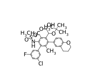 Cc1c(-c2cc(F)cc(Cl)c2)c(NS(C)(=O)=O)c(C)c(C(OC(C)(C)C)C(=O)O)c1-c1ccc2c(c1)CCCO2